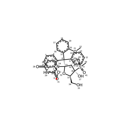 COc1ccccc1C(c1ccccc1)(c1ccccc1OC)[C@@]1(n2ccc(=O)[nH]c2=O)O[C@H](CO)[C@](O)(S(C)(=O)=O)[C@H]1O